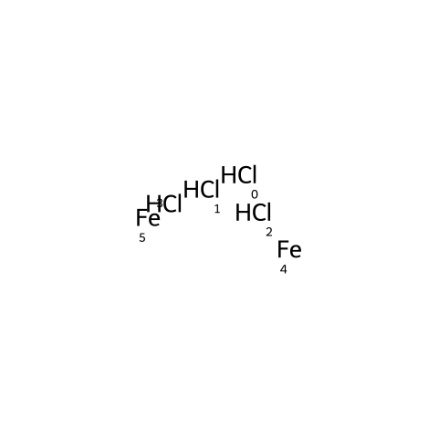 Cl.Cl.Cl.Cl.[Fe].[Fe]